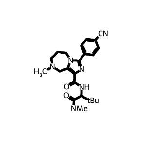 CNC(=O)C(NC(=O)c1nc(-c2ccc(C#N)cc2)n2c1CN(C)CCC2)C(C)(C)C